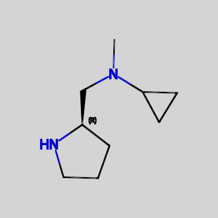 CN(C[C@H]1CCCN1)C1CC1